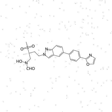 C[C@](CCn1cc2cc(-c3ccc(-c4ncco4)cc3)ccc2n1)(CN(O)C=O)S(C)(=O)=O